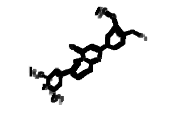 COc1ccc(-c2cc(=O)n3cc(N4C[C@@H](C)N[C@@H](C)C4)ccc3n2)cc1OC